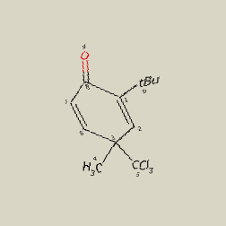 CC(C)(C)C1=CC(C)(C(Cl)(Cl)Cl)C=CC1=O